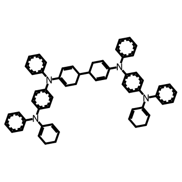 C1=CC(N(c2ccccc2)c2ccc(N(C3=CCC(C4C=CC(N(c5ccccc5)c5ccc(N(C6=CCCC=C6)c6ccccc6)cc5)=CC4)C=C3)c3ccccc3)cc2)=CCC1